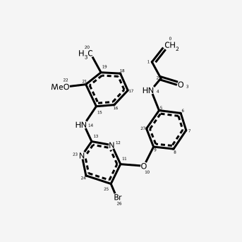 C=CC(=O)Nc1cccc(Oc2nc(Nc3cccc(C)c3OC)ncc2Br)c1